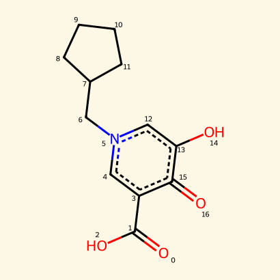 O=C(O)c1cn(CC2CCCC2)cc(O)c1=O